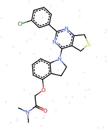 CN(C)C(=O)COc1cccc2c1CCN2c1nc(-c2cccc(Cl)c2)nc2c1CSC2